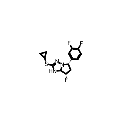 Fc1ccc([C@@H]2C[C@H](F)C3NC(SC4CC4)=NN32)cc1F